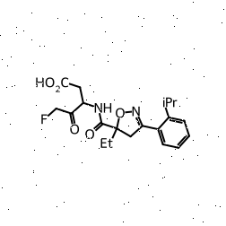 CCC1(C(=O)NC(CC(=O)O)C(=O)CF)CC(c2ccccc2C(C)C)=NO1